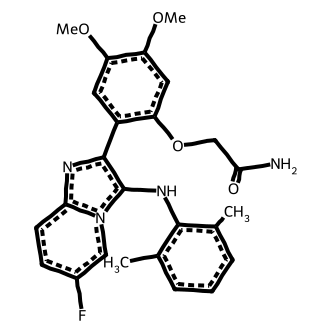 COc1cc(OCC(N)=O)c(-c2nc3ccc(F)cn3c2Nc2c(C)cccc2C)cc1OC